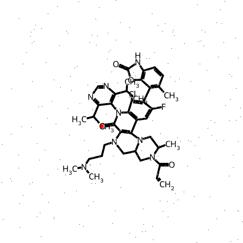 C=CC(=O)N1CC2CN(CCCN(C)C)c3c(c4cc(F)c(-c5c(C)ccc6[nH]c(=O)oc56)c(Cl)c4n(-c4c(C(C)C)ncnc4C(C)C)c3=O)N2CC1C